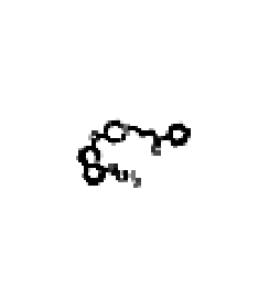 COc1cccc2ccc(OC3CCN(CCCC(=O)c4ccccc4)CC3)cc12